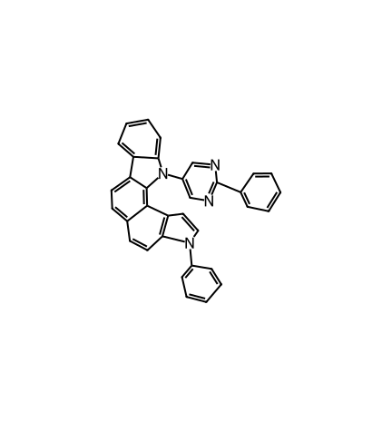 c1ccc(-c2ncc(-n3c4ccccc4c4ccc5ccc6c(ccn6-c6ccccc6)c5c43)cn2)cc1